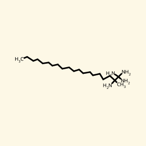 CCCCCCCCCCCCCCCCCCC(C)(N)C(N)(N)N